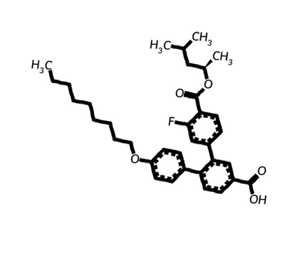 CCCCCCCCCOc1ccc(-c2ccc(C(=O)O)cc2-c2ccc(C(=O)O[C@H](C)CC(C)C)c(F)c2)cc1